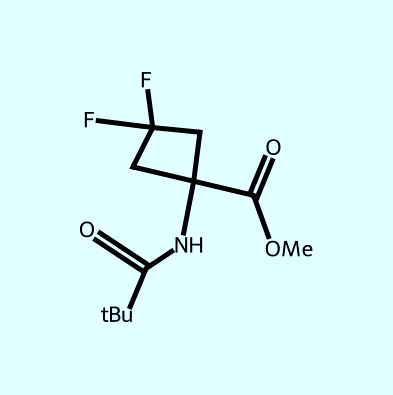 COC(=O)C1(NC(=O)C(C)(C)C)CC(F)(F)C1